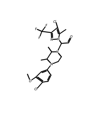 COc1cc(N2CCN(C(C=O)n3nc(C(F)(F)F)c(Cl)c3C)C(C)C2C)ccc1Cl